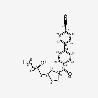 COC(=O)CC1CCN(C(=O)c2ccc(-c3ccc(C#N)cc3)cc2)C1